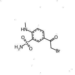 CNc1ccc(C(=O)CBr)cc1S(N)(=O)=O